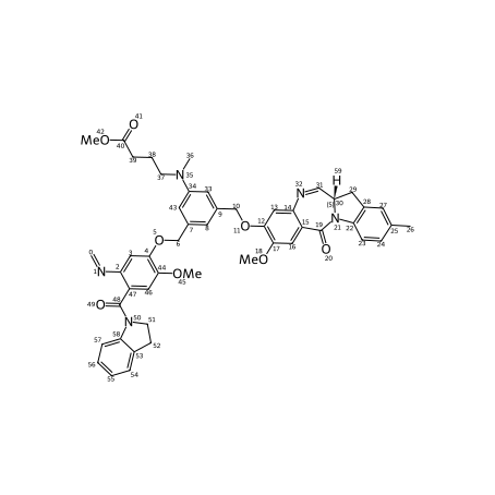 C=Nc1cc(OCc2cc(COc3cc4c(cc3OC)C(=O)N3c5ccc(C)cc5C[C@H]3C=N4)cc(N(C)CCCC(=O)OC)c2)c(OC)cc1C(=O)N1CCc2ccccc21